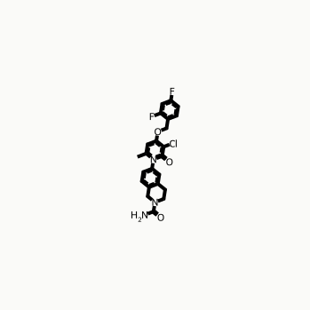 Cc1cc(OCc2ccc(F)cc2F)c(Cl)c(=O)n1-c1ccc2c(c1)CCN(C(N)=O)C2